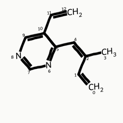 C=C/C(C)=C\c1ncncc1C=C